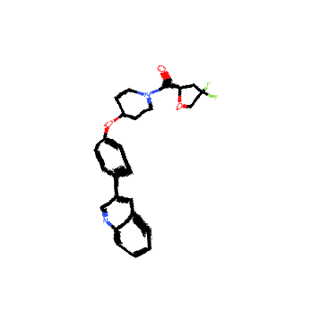 O=C(C1CC(F)(F)CO1)N1CCC(Oc2ccc(-c3cnc4ccccc4c3)cc2)CC1